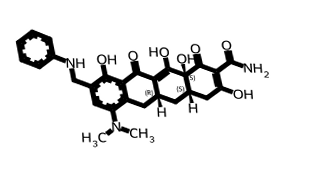 CN(C)c1cc(CNc2ccccc2)c(O)c2c1C[C@H]1C[C@H]3CC(O)=C(C(N)=O)C(=O)[C@@]3(O)C(O)=C1C2=O